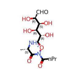 CCCC(=O)N(OC[C@@H](O)[C@@H](O)[C@H](O)[C@@H](O)C=O)C(=O)[C@H](C)N